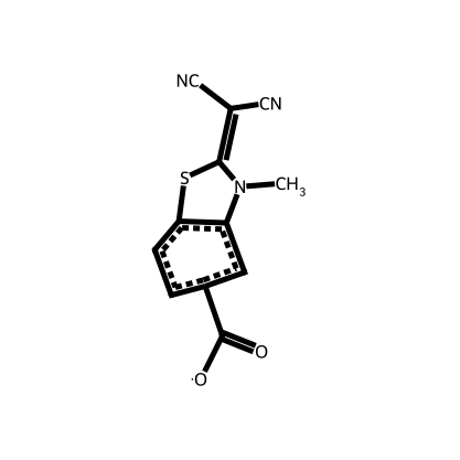 CN1C(=C(C#N)C#N)Sc2ccc(C([O])=O)cc21